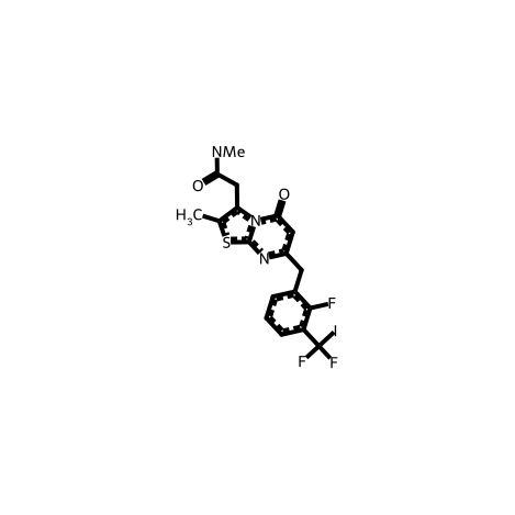 CNC(=O)Cc1c(C)sc2nc(Cc3cccc(C(F)(F)I)c3F)cc(=O)n12